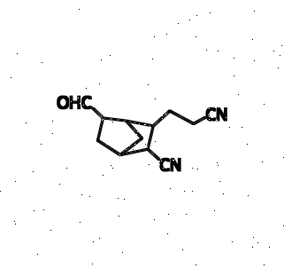 N#CCCC1C(C#N)C2CC(C=O)C1C2